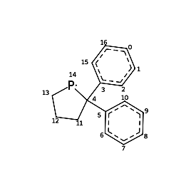 c1ccc(C2(c3ccccc3)CCC[P]2)cc1